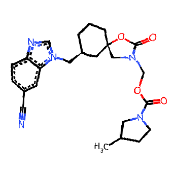 CC1CCN(C(=O)OCN2C[C@@]3(CCC[C@H](Cn4cnc5ccc(C#N)cc54)C3)OC2=O)C1